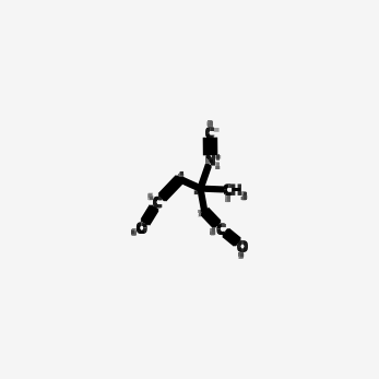 [C-]#[N+]C(C)(C=C=O)C=C=O